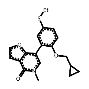 CCSc1ccc(OCC2CC2)c(-c2cn(C)c(=O)c3ccoc23)c1